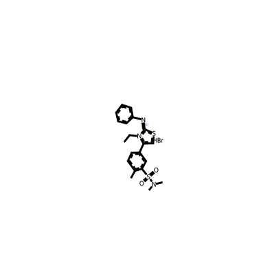 Br.CCn1c(-c2ccc(C)c(S(=O)(=O)N(C)C)c2)cs/c1=N/c1ccccc1